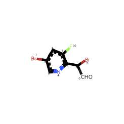 O=CC(Br)c1ncc(Br)cc1F